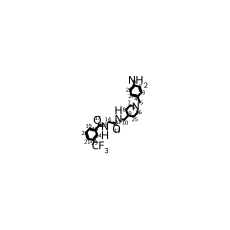 Nc1ccc(CN2CCC(CNC(=O)CNC(=O)c3cccc(C(F)(F)F)c3)CC2)cc1